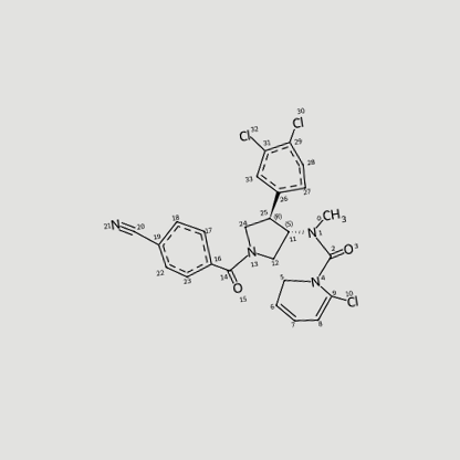 CN(C(=O)N1CC=CC=C1Cl)[C@@H]1CN(C(=O)c2ccc(C#N)cc2)C[C@H]1c1ccc(Cl)c(Cl)c1